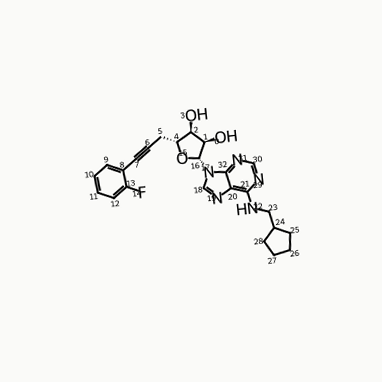 O[C@@H]1[C@H](O)[C@@H](CC#Cc2ccccc2F)O[C@H]1n1cnc2c(NCC3CCCC3)ncnc21